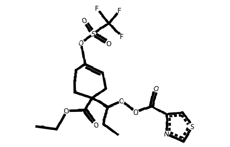 CCOC(=O)C1(C(CC)OOC(=O)c2cscn2)CC=C(OS(=O)(=O)C(F)(F)F)CC1